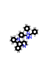 c1ccc(-c2nnc(-c3cccc(-n4c5ccccc5c5c6ccccc6c6ncccc6c54)c3)n2-c2ccccc2)cc1